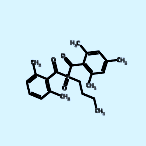 CCCCP(=O)(C(=O)c1c(C)cccc1C)C(=O)c1c(C)cc(C)cc1C